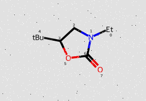 CCN1CC(C(C)(C)C)OC1=O